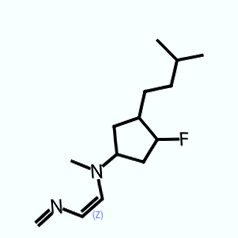 C=N/C=C\N(C)C1CC(F)C(CCC(C)C)C1